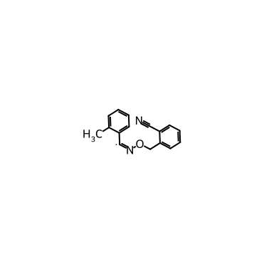 Cc1ccccc1/[C]=N\OCc1ccccc1C#N